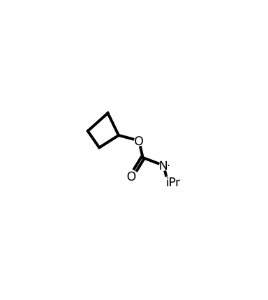 CC(C)[N]C(=O)OC1CCC1